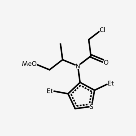 CCc1csc(CC)c1N(C(=O)CCl)C(C)COC